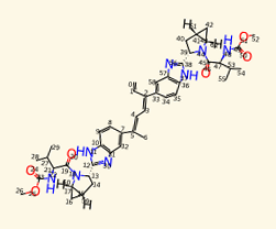 C=C/C(=C\C=C(/C)c1ccc2[nH]c([C@@H]3C[C@@H]4C[C@@H]4N3C(=O)[C@@H](NC(=O)OC)C(C)C)nc2c1)c1ccc2[nH]c([C@@H]3C[C@@H]4C[C@@H]4N3C(=O)[C@@H](NC(=O)OC)C(C)C)nc2c1